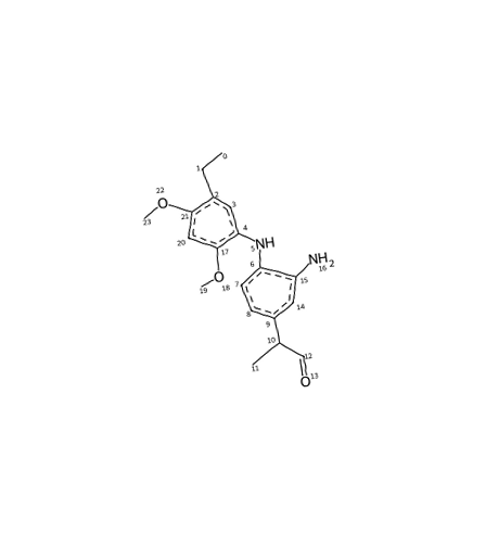 CCc1cc(Nc2ccc(C(C)C=O)cc2N)c(OC)cc1OC